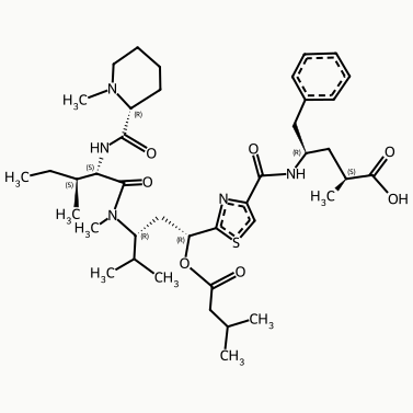 CC[C@H](C)[C@H](NC(=O)[C@H]1CCCCN1C)C(=O)N(C)[C@H](C[C@@H](OC(=O)CC(C)C)c1nc(C(=O)N[C@@H](Cc2ccccc2)C[C@H](C)C(=O)O)cs1)C(C)C